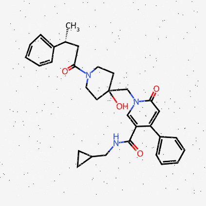 C[C@H](CC(=O)N1CCC(O)(Cn2cc(C(=O)NCC3CC3)c(-c3ccccc3)cc2=O)CC1)c1ccccc1